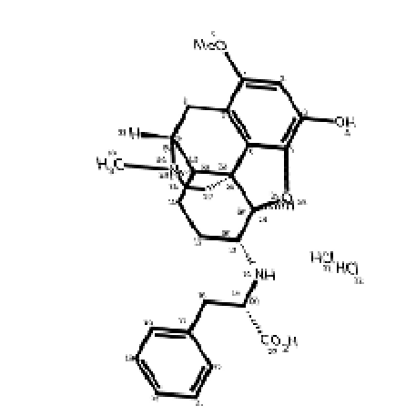 COc1cc(O)c2c3c1C[C@@H]1[C@@H]4CC[C@@H](N[C@@H](Cc5ccccc5)C(=O)O)[C@H](O2)[C@]34CCN1C.Cl.Cl